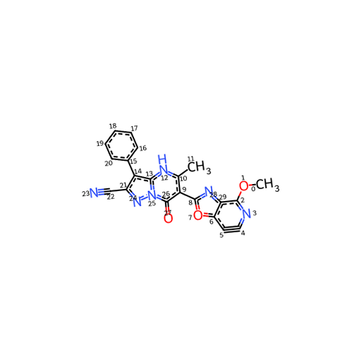 COc1nc#cc2oc(-c3c(C)[nH]c4c(-c5ccccc5)c(C#N)nn4c3=O)nc12